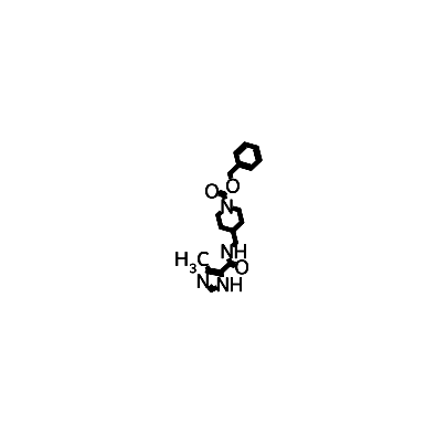 Cc1nc[nH]c1C(=O)NCC1CCN(C(=O)OCc2ccccc2)CC1